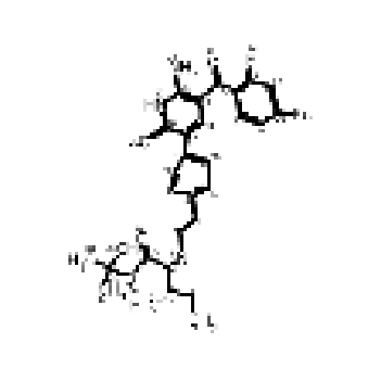 CC[C@H](C)[C@H](NCCc1ccc(-c2cc(C(=O)c3ccc(F)cc3F)c(N)[nH]c2=O)cc1)C(=O)OC(C)(C)C